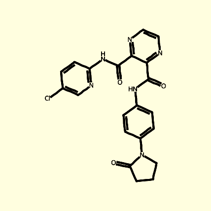 O=C(Nc1ccc(N2CCCC2=O)cc1)c1nccnc1C(=O)Nc1ccc(Cl)cn1